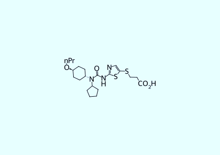 CCCO[C@H]1CC[C@H](N(C(=O)Nc2ncc(SCCC(=O)O)s2)C2CCCC2)CC1